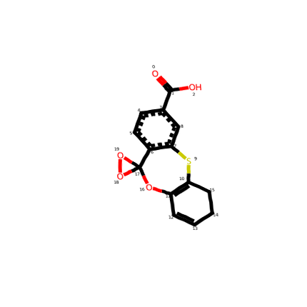 O=C(O)c1ccc2c(c1)SC1=C(C=CCC1)OC21OO1